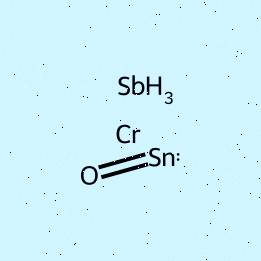 [Cr].[O]=[Sn].[SbH3]